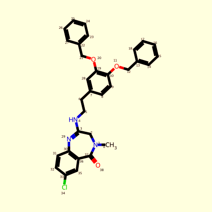 CN1CC(NCCc2ccc(OCc3ccccc3)c(OCc3ccccc3)c2)=Nc2ccc(Cl)cc2C1=O